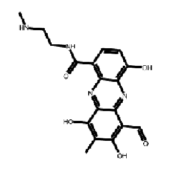 CNCCNC(=O)c1ccc(O)c2nc3c(C=O)c(O)c(C)c(O)c3nc12